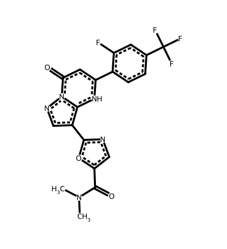 CN(C)C(=O)c1cnc(-c2cnn3c(=O)cc(-c4ccc(C(F)(F)F)cc4F)[nH]c23)o1